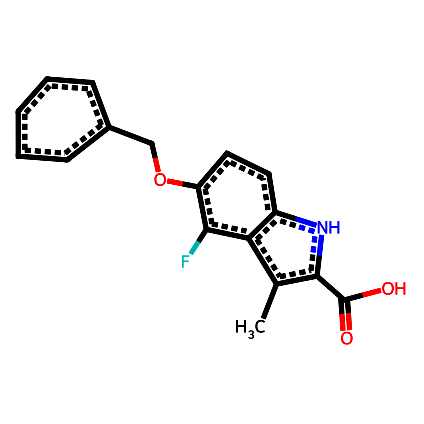 Cc1c(C(=O)O)[nH]c2ccc(OCc3ccccc3)c(F)c12